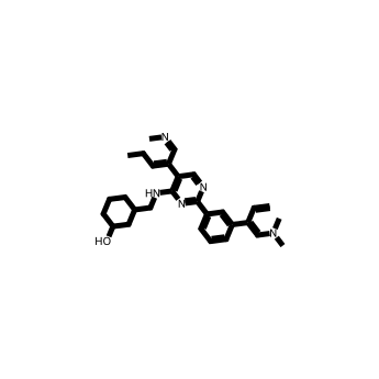 C=C/C(=C\N(C)C)c1cccc(-c2ncc(C(/C=N\C)=C/CC)c(NCC3CCCC(O)C3)n2)c1